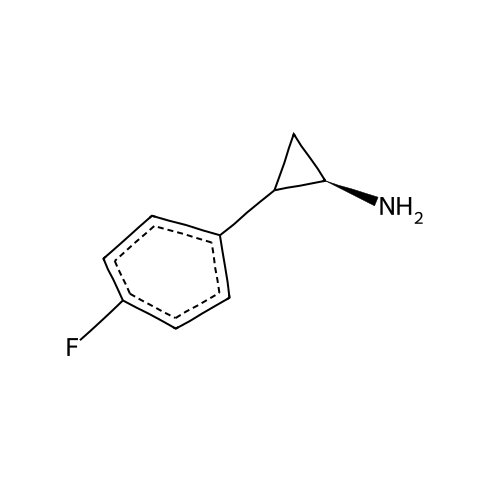 N[C@@H]1CC1c1ccc(F)cc1